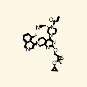 C=CC(=O)N1CCN(c2nc(OCC3S[C@]3(C)OC3CC3)nc3c2CCN(c2cncc4cccc(F)c24)C3)C[C@@H]1CC#N